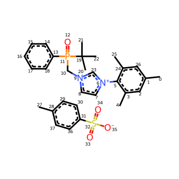 Cc1cc(C)c(-[n+]2ccn(CP(=O)(c3ccccc3)C(C)(C)C)c2)c(C)c1.Cc1ccc(S(=O)(=O)[O-])cc1